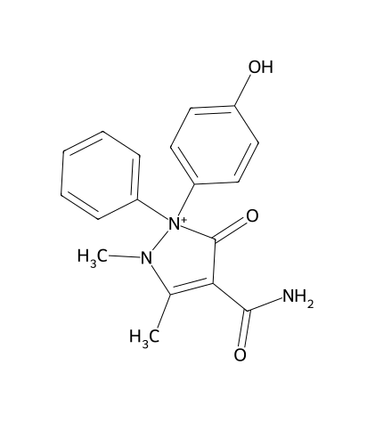 CC1=C(C(N)=O)C(=O)[N+](c2ccccc2)(c2ccc(O)cc2)N1C